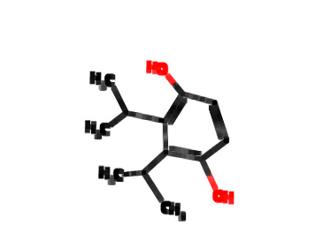 CC(C)c1c(O)ccc(O)c1C(C)C